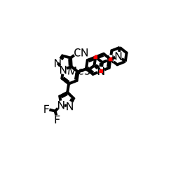 CSc1ccc(N2C3CC2CN(c2ccc(-c4cc(-c5cnn(C(F)F)c5)cn5ncc(C#N)c45)cn2)C3)cn1